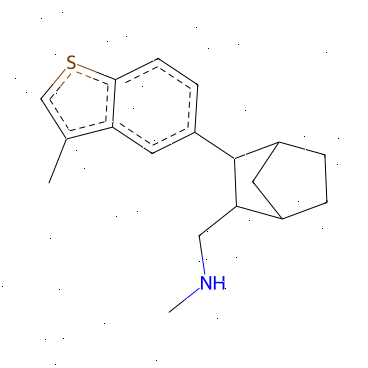 CNCC1C2CCC(C2)C1c1ccc2scc(C)c2c1